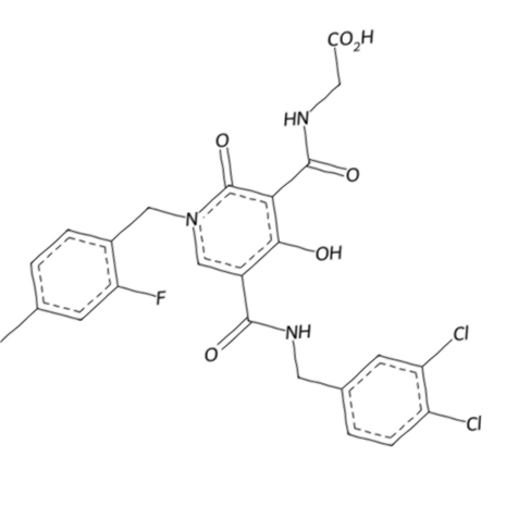 Cc1ccc(Cn2cc(C(=O)NCc3ccc(Cl)c(Cl)c3)c(O)c(C(=O)NCC(=O)O)c2=O)c(F)c1